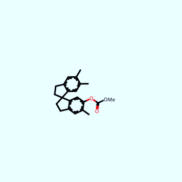 COC(=O)Oc1cc2c(cc1C)CCC21CCc2cc(C)c(C)cc21